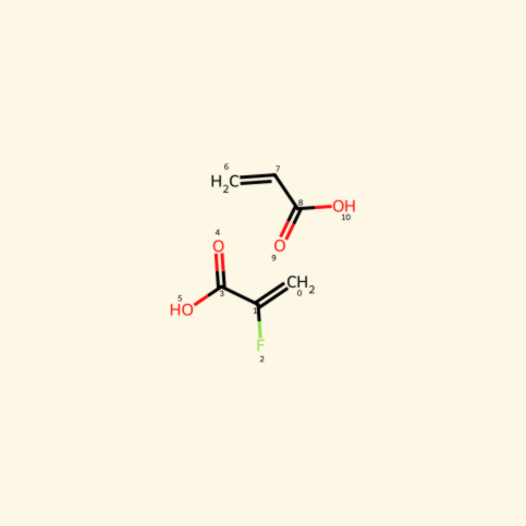 C=C(F)C(=O)O.C=CC(=O)O